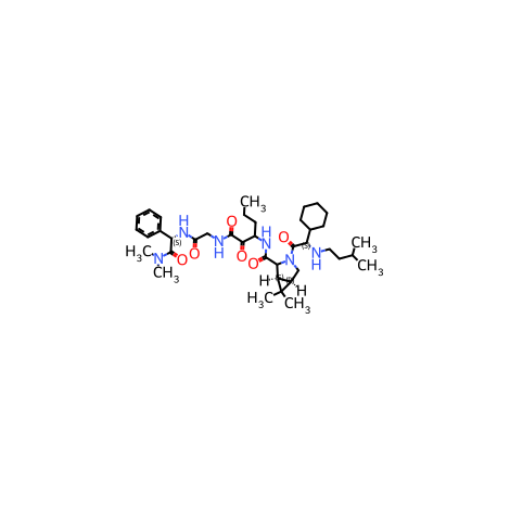 CCCC(NC(=O)C1[C@H]2[C@@H](CN1C(=O)[C@@H](NCCC(C)C)C1CCCCC1)C2(C)C)C(=O)C(=O)NCC(=O)N[C@H](C(=O)N(C)C)c1ccccc1